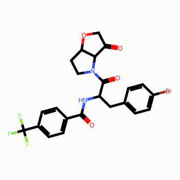 O=C(NC(Cc1ccc(Br)cc1)C(=O)N1CCC2OCC(=O)C21)c1ccc(C(F)(F)F)cc1